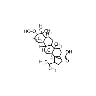 CC(C)[C@@H]1CC[C@]2(C(=O)O)CC[C@]3(C)[C@H](CC[C@@H]4[C@@]5(C)CC[C@H](OO)C(C)(C)[C@@H]5CC[C@]43C)[C@@H]12